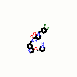 O=C(NCc1ccc2nccc(OC[C@@H]3CCCNC3)c2c1)c1cccn(Cc2ccc(F)c(F)c2)c1=O